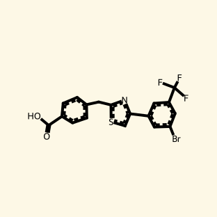 O=C(O)c1ccc(Cc2nc(-c3cc(Br)cc(C(F)(F)F)c3)cs2)cc1